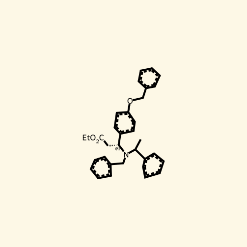 CCOC(=O)C[C@H](c1ccc(OCc2ccccc2)cc1)N(Cc1ccccc1)C(C)c1ccccc1